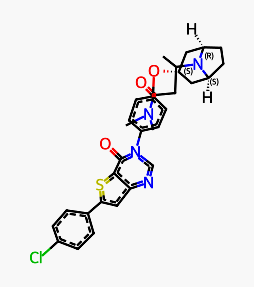 CC(CC(=O)N(C)C)N1[C@@H]2CC[C@H]1C[C@H](Oc1ccc(-n3cnc4cc(-c5ccc(Cl)cc5)sc4c3=O)cc1)C2